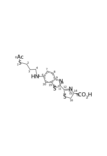 CC(=O)SCCCNc1ccc2nc(C3=N[C@@H](C(=O)O)CS3)sc2c1